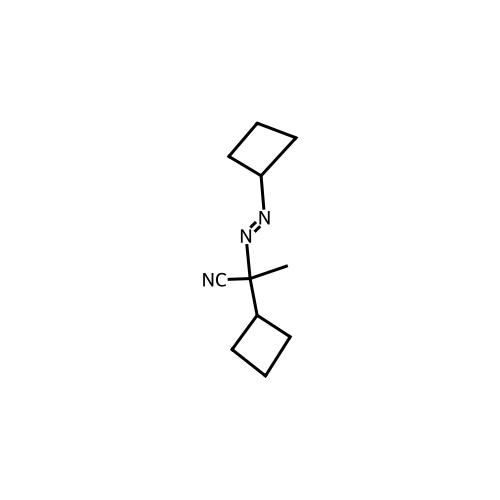 CC(C#N)(/N=N/C1CCC1)C1CCC1